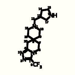 FC(F)(F)c1nnc2n1CCC1(CCN(CC3CCNC3)CC1)C2